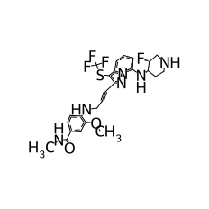 CNC(=O)c1ccc(NCC#Cc2nn3c(N[C@@H]4CCNC[C@@H]4F)cccc3c2SC(F)(F)F)c(OC)c1